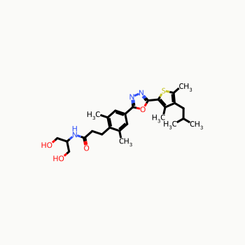 Cc1cc(-c2nnc(-c3sc(C)c(CC(C)C)c3C)o2)cc(C)c1CCC(=O)NC(CO)CO